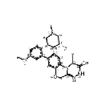 COc1cccc(-c2cc3c(cc2[C@@H]2CCN(C)C[C@@H]2C)N2C(=NNC(=O)C2C)CO3)c1